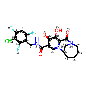 O=C(NCc1c(F)cc(F)c(Cl)c1F)c1cn2c(c(O)c1=O)C(=O)N1CCCCC2C1